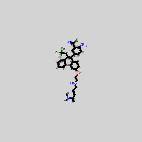 C=C(/C=C/CNCCOc1ccc(/C(=C(/CC(F)(F)F)c2ccccc2)c2ccc(N)c(C(=N)F)c2)cc1)N(C)C